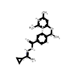 Cc1cc(O[C@@H](C)c2ccc(C(=O)O/N=C(\N)C3CC3)cc2)nc(C)n1